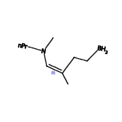 BCC/C(C)=C\N(C)CCC